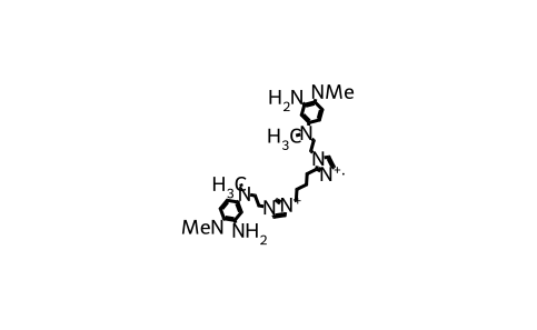 CNc1ccc(N(C)CCN2C=C[N+]=C2CCCC[n+]2ccn(CCN(C)c3ccc(NC)c(N)c3)c2)cc1N